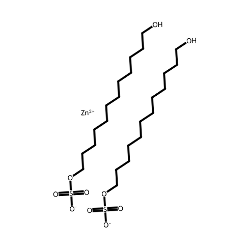 O=S(=O)([O-])OCCCCCCCCCCCCO.O=S(=O)([O-])OCCCCCCCCCCCCO.[Zn+2]